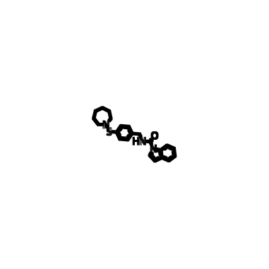 O=C(NCc1ccc(SN2CCCCCC2)cc1)n1ccc2ccccc21